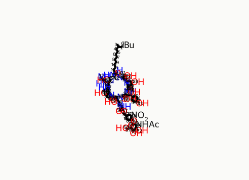 CCC(C)CC(C)CCCCCCCCCC(=O)N[C@H]1CN[C@@H]([C@@H](C)O)C(=O)N2C[C@H](O)C[C@H]2C(=O)N[C@@H]([C@H](O)[C@@H](O)c2ccc(O)cc2)C(=O)N[C@@H]([C@H](O)CCNC(=O)OCc2ccc(O[C@@H]3O[C@H](CO)C(O)[C@H](O)[C@H]3NC(C)=O)c([N+](=O)[O-])c2)C(=O)N2CC[C@H](O)[C@H]2CN[C@H](NCCN)[C@H](O)C1